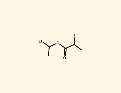 CCC(C)OC(=O)C(C)F